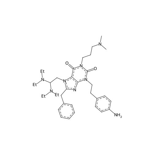 CCN(CC)C(Cn1c(Cc2ccccc2)nc2c1c(=O)n(CCCN(C)C)c(=O)n2CCc1ccc(N)cc1)N(CC)CC